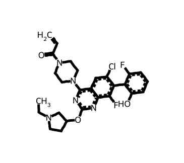 C=CC(=O)N1CCN(c2nc(OC3CCN(CC)C3)nc3c(F)c(-c4c(O)cccc4F)c(Cl)cc23)CC1